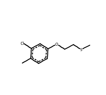 CSCCOc1ccc(C)c(Cl)c1